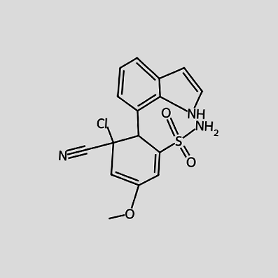 COC1=CC(Cl)(C#N)C(c2cccc3cc[nH]c23)C(S(N)(=O)=O)=C1